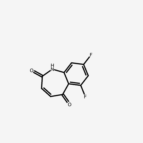 O=c1ccc(=O)c2c(F)cc(F)cc2[nH]1